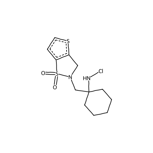 O=S1(=O)c2ccsc2CN1CC1(NCl)CCCCC1